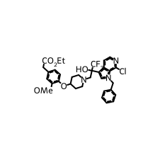 CCOC(=O)Cc1ccc(OC2CCN(CC(O)(c3cn(Cc4ccccc4)c4c(Cl)nccc34)C(F)(F)F)CC2)c(OC)c1